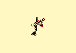 CN(C)CCC=C1c2ccccc2COc2ccccc21.CN(C)[C@@H](CCOc1cccc2ccccc12)c1ccccc1.O=c1n(CCCN2CCN(c3cccc(Cl)c3)CC2)nc2ccccn12